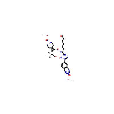 CCC(=O)CCCCC[C@H](NC(=O)[C@H]1CC12CCN(C(=O)OC(C)(C)C)CC2)c1ncc(-c2ccc3c(c2)C2CCC3N2C(=O)OC(C)(C)C)n1COCC[Si](C)(C)C